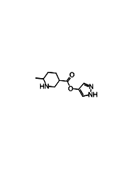 CC1CCC(C(=O)Oc2cn[nH]c2)CN1